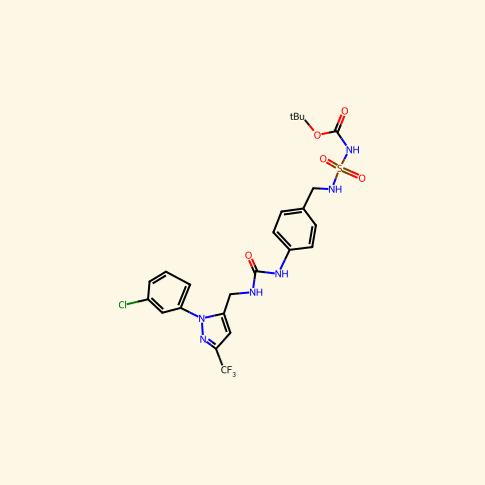 CC(C)(C)OC(=O)NS(=O)(=O)NCc1ccc(NC(=O)NCc2cc(C(F)(F)F)nn2-c2cccc(Cl)c2)cc1